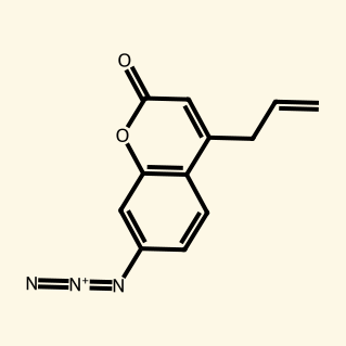 C=CCc1cc(=O)oc2cc(N=[N+]=[N-])ccc12